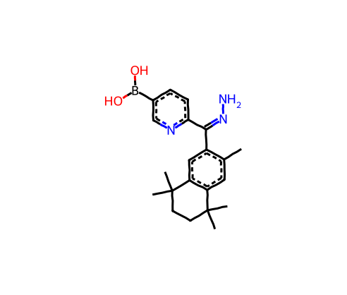 Cc1cc2c(cc1C(=NN)c1ccc(B(O)O)cn1)C(C)(C)CCC2(C)C